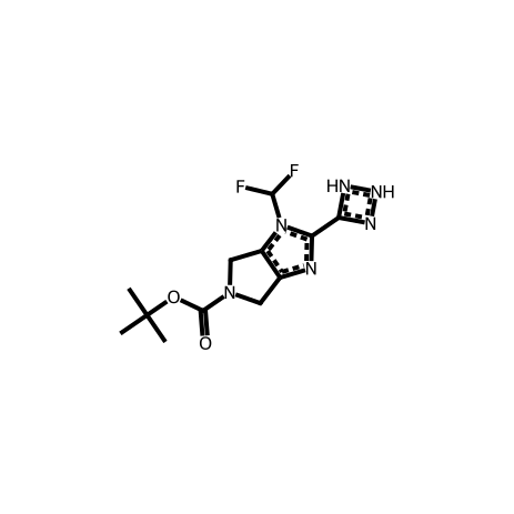 CC(C)(C)OC(=O)N1Cc2nc(-c3n[nH][nH]3)n(C(F)F)c2C1